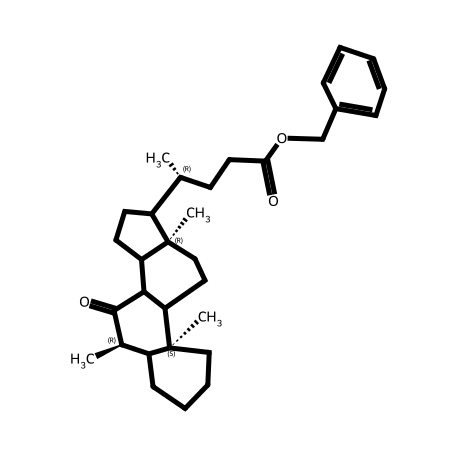 C[C@H](CCC(=O)OCc1ccccc1)C1CCC2C3C(=O)[C@H](C)C4CCCC[C@]4(C)C3CC[C@@]21C